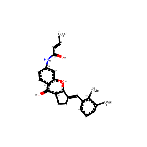 COc1cccc(C=C2CCc3c2oc2cc(NC(=O)C=CC(=O)O)ccc2c3=O)c1OC